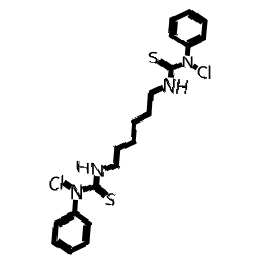 S=C(NCCCCCCNC(=S)N(Cl)c1ccccc1)N(Cl)c1ccccc1